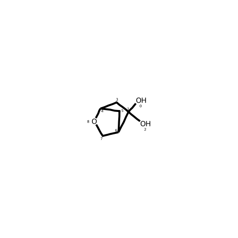 OC1(O)CC2CC1CO2